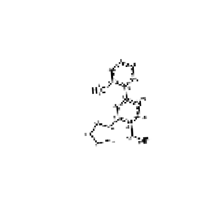 Cc1ccccc1-c1cc(C2CCCC2)c(CC(C)C)cn1